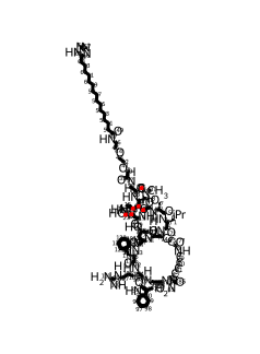 CC(C)C[C@H](NC(=O)[C@H](CO)NC(=O)[C@H](Cc1c[nH]cn1)NC(=O)[C@H](CO)NC(=O)[C@H](CN(C)C)NC(=O)CNC(=O)COCCOCCNC(=O)CCCCCCCCCCCCCCCc1nnn[nH]1)C(=O)N[C@H]1CCC(=O)NCCCC[C@@H](C(N)=O)NC(=O)[C@H](Cc2c[nH]c3ccccc23)NC(=O)[C@H](CCCNC(=N)N)NC(=O)[C@@H](Cc2ccccc2)NC(=O)[C@@H]2C[C@@H](O)CN2C1=O